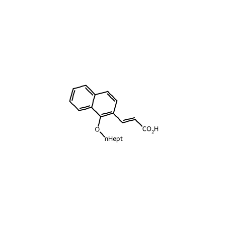 CCCCCCCOc1c(C=CC(=O)O)ccc2ccccc12